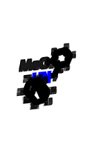 COc1ccccc1CNC12CC3CC(CC(C3)C1)C2